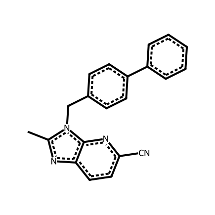 Cc1nc2ccc(C#N)nc2n1Cc1ccc(-c2ccccc2)cc1